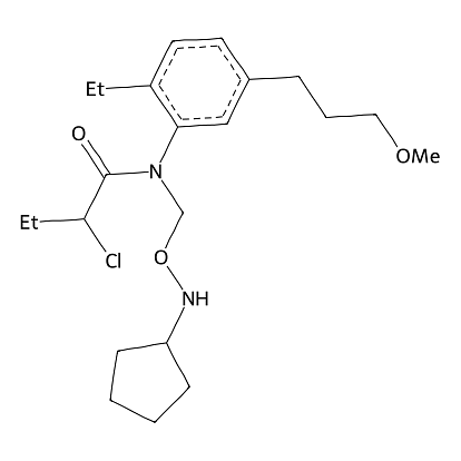 CCc1ccc(CCCOC)cc1N(CONC1CCCC1)C(=O)C(Cl)CC